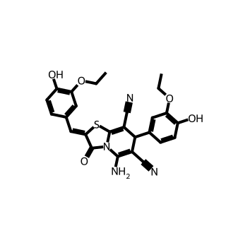 CCOc1cc(/C=c2\sc3n(c2=O)C(N)=C(C#N)C(c2ccc(O)c(OCC)c2)C=3C#N)ccc1O